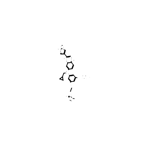 COc1cc(OCCOS(C)(=O)=O)cc(N(CC2CC2)c2ccc3ncc(-c4cnn(C)c4)nc3c2)c1